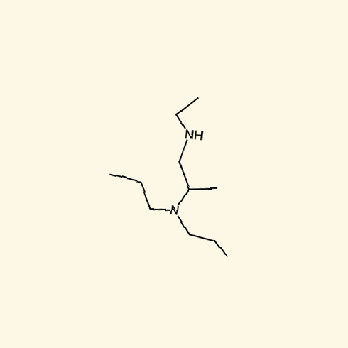 CCCN(CCC)C(C)CNCC